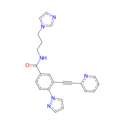 O=C(NCCCn1ccnc1)c1ccc(-n2cccn2)c(C#Cc2ccccn2)c1